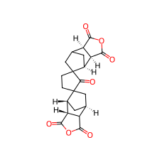 O=C1OC(=O)[C@H]2C1[C@H]1C[C@H]2C2(CCC3(CC4C[C@H]3[C@@H]3C(=O)OC(=O)[C@H]43)C2=O)C1